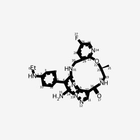 CCNc1ccc(-c2c3nc4c(cnn4c2N)C(=O)NC[C@H](C)Oc2ncc(F)cc2CN3)cc1